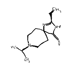 CC1=NC2(CCN(C(C)C)CC2)C(=O)N1